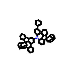 c1ccc(-c2ccc(N(c3cc(-c4ccccc4)c4c(c3)-c3ccccc3C43C4CC5CC(C4)CC3C5)c3cccc4c3-c3ccccc3C43C4CC5CC(C4)CC3C5)cc2)cc1